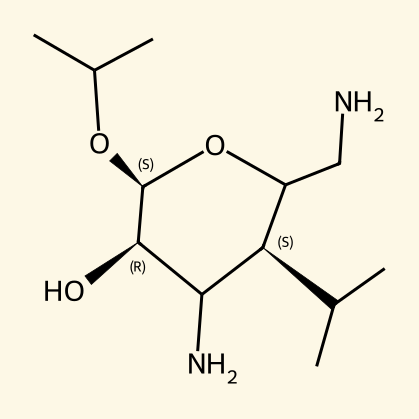 CC(C)O[C@H]1OC(CN)[C@@H](C(C)C)C(N)[C@H]1O